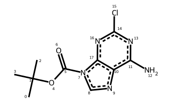 CC(C)(C)OC(=O)n1cnc2c(N)nc(Cl)nc21